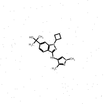 Cc1nn(C)cc1Nc1nn(C2CCC2)c2cc(C(C)(C)O)ccc12